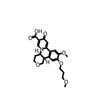 COCCCOc1cc2c(cc1OC)-c1cc(=O)c(C(=O)O)cn1[C@@H]1CCOC[C@@H]21